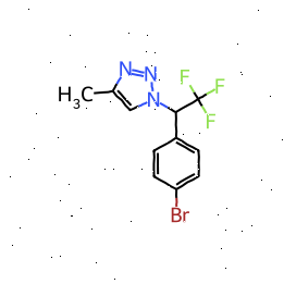 Cc1cn(C(c2ccc(Br)cc2)C(F)(F)F)nn1